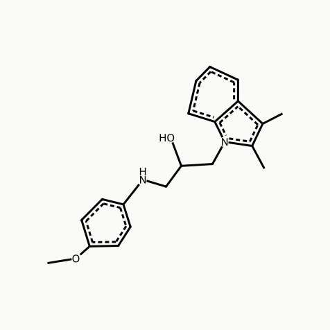 COc1ccc(NCC(O)Cn2c(C)c(C)c3ccccc32)cc1